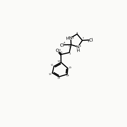 O=C(CC1(Cl)NCC(Cl)N1)c1ccccc1